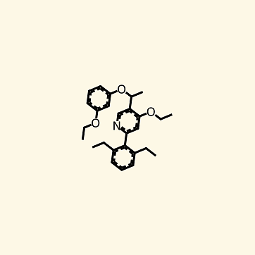 CCOc1cccc(OC(C)c2cnc(-c3c(CC)cccc3CC)cc2OCC)c1